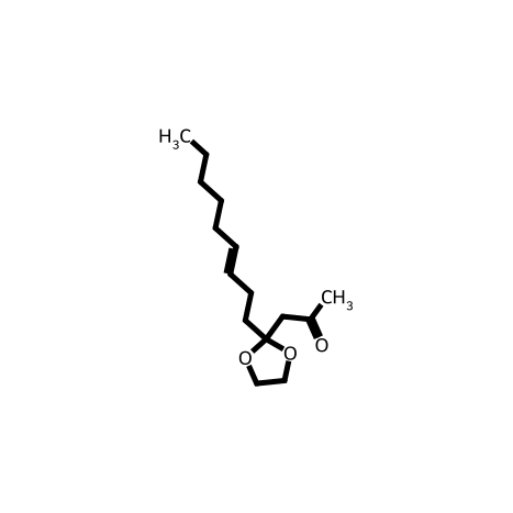 CCCCC/C=C/CCC1(CC(C)=O)OCCO1